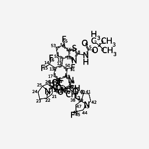 CC(C)(C)OC(=O)Nc1nc2c(-c3c(C(F)F)cc4c(N5CC6CCC(C5)N6C(=O)OC(C)(C)C)nc(OC[C@@]56CCCN5C[C@H](F)C6)nc4c3F)ccc(F)c2s1